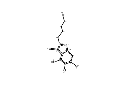 O=c1c2c(O)c(Cl)c(O)cc2sn1CCCCBr